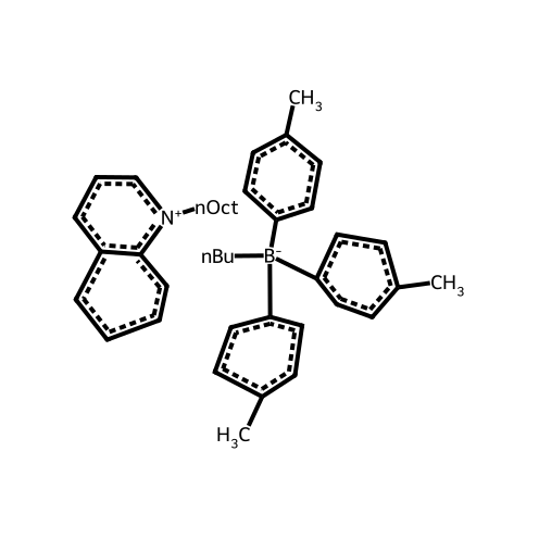 CCCCCCCC[n+]1cccc2ccccc21.CCCC[B-](c1ccc(C)cc1)(c1ccc(C)cc1)c1ccc(C)cc1